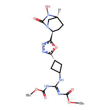 CC(C)(C)OC(=O)/N=C(/NC(=O)OC(C)(C)C)N[C@H]1C[C@H](c2nnc([C@@H]3CC[C@H]4CN3C(=O)N4O)o2)C1